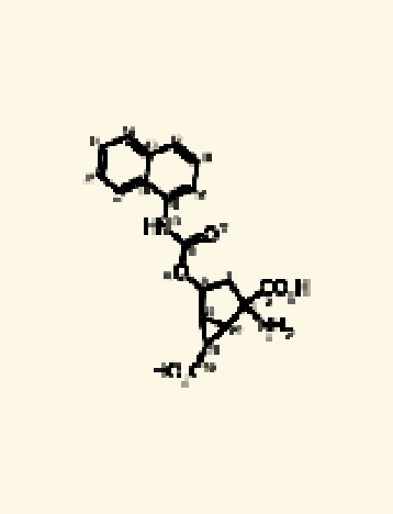 NC1(C(=O)O)CC(OC(=O)Nc2cccc3ccccc23)C2C1[C@H]2C(=O)O